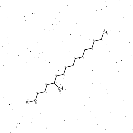 CCCCCCCCCCCC(O)CCCOO